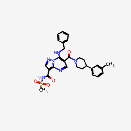 Cc1cccc(C2CCN(C(=O)c3cnc4c(C(=O)NS(C)(=O)=O)cnn4c3NCc3ccccc3)CC2)c1